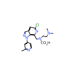 Cc1cc(-n2ncc3cc(Cl)nc(CN(CCN(C)C)C(=O)O)c32)ccn1